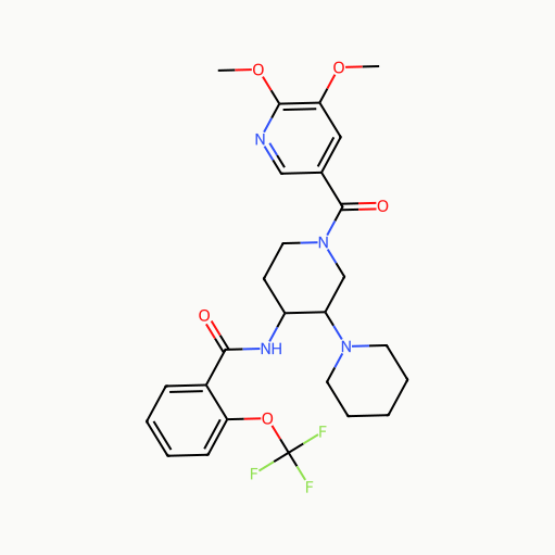 COc1cc(C(=O)N2CCC(NC(=O)c3ccccc3OC(F)(F)F)C(N3CCCCC3)C2)cnc1OC